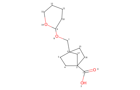 O=C(O)C12CCC(COC3CCCCO3)(CC1)C2